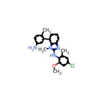 COc1cc(Cl)cc(C)c1Nc1nc2cccc(-c3cc(N)ccc3C)c2n1C